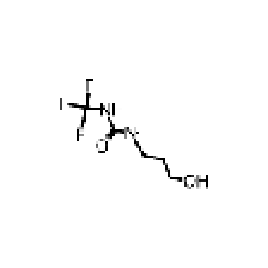 O=C([N]CCCO)NC(F)(F)F